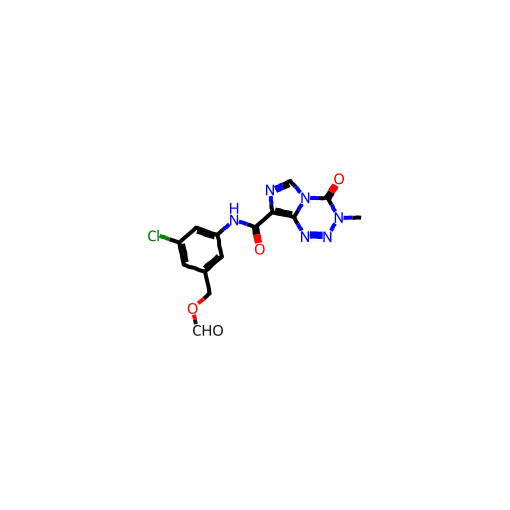 Cn1nnc2c(C(=O)Nc3cc(Cl)cc(COC=O)c3)ncn2c1=O